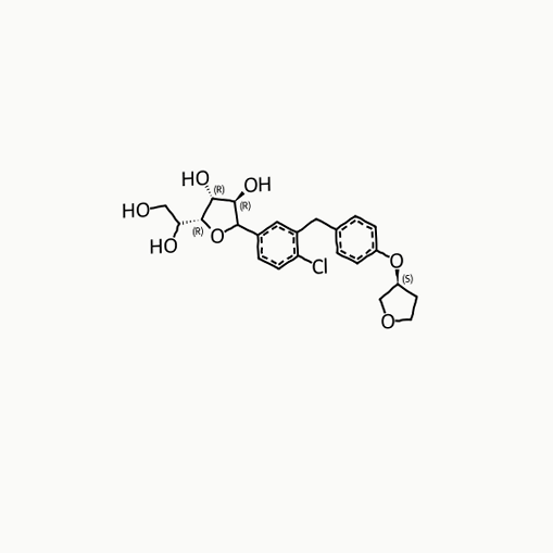 OCC(O)[C@H]1OC(c2ccc(Cl)c(Cc3ccc(O[C@H]4CCOC4)cc3)c2)[C@H](O)[C@H]1O